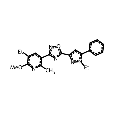 CCc1cc(-c2noc(-c3cc(-c4ccccc4)n(CC)n3)n2)c(C)nc1OC